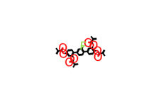 C=C(C)C(=O)Oc1ccc(-c2ccc(-c3ccc(OC(=O)C(=C)C)c(OC(=O)C(=C)C)c3)c(F)c2)c(OC(=O)C(=C)C)c1